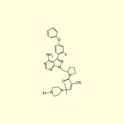 CCN1CCN(C(C)(C)/C=C(/C#N)C(=O)N2CCCC2Cn2nc(-c3ccc(Oc4ccccc4)cc3F)c3c(N)ncnc32)CC1